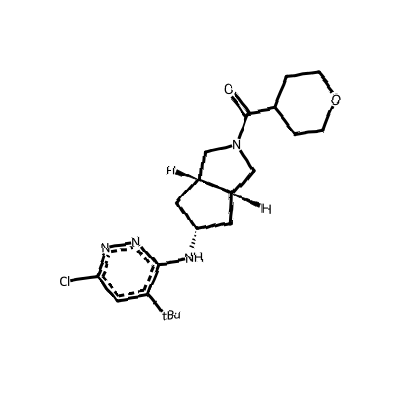 CC(C)(C)c1cc(Cl)nnc1N[C@@H]1C[C@@H]2CN(C(=O)C3CCOCC3)C[C@@H]2C1